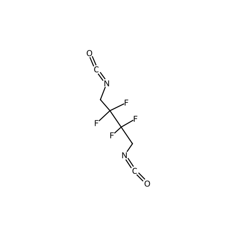 O=C=NCC(F)(F)C(F)(F)CN=C=O